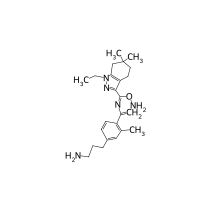 C=C(/N=C(\ON)c1nn(CC)c2c1CCC(C)(C)C2)c1ccc(CCCN)cc1C